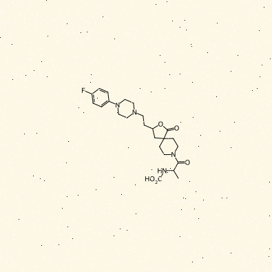 CC(NC(=O)O)C(=O)N1CCC2(CC1)CC(CCN1CCN(c3ccc(F)cc3)CC1)OC2=O